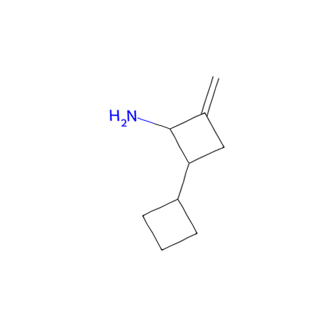 C=C1CC(C2CCC2)C1N